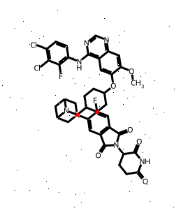 COc1cc2ncnc(Nc3ccc(Cl)c(Cl)c3F)c2cc1OC1CCC(CN2C3CC2CN(c2cc4c(cc2F)C(=O)N(C2CCC(=O)NC2=O)C4=O)C3)CC1